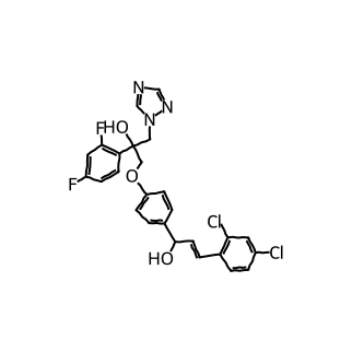 OC(C=Cc1ccc(Cl)cc1Cl)c1ccc(OCC(O)(Cn2cncn2)c2ccc(F)cc2F)cc1